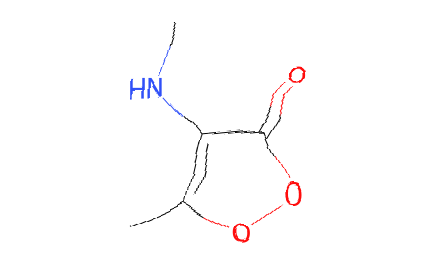 CNc1c(C)ooc1=O